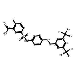 Cc1ccc(S(=O)(=O)Nc2ccc(SCc3cc(C(F)(F)F)cc(C(F)(F)F)c3)cc2)cc1C(=O)O